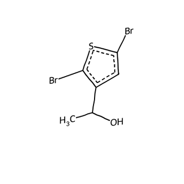 CC(O)c1cc(Br)sc1Br